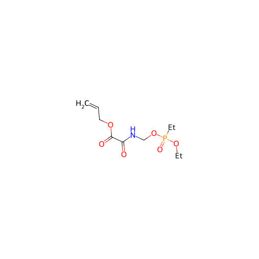 C=CCOC(=O)C(=O)NCOP(=O)(CC)OCC